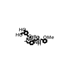 COc1ccccc1CNC(=O)c1cc2cc(C[C@@H](C)NC[C@@H](O[Si](C)(C)C(C)(C)C)c3ccc(O)c(CO)c3)ccc2[nH]1